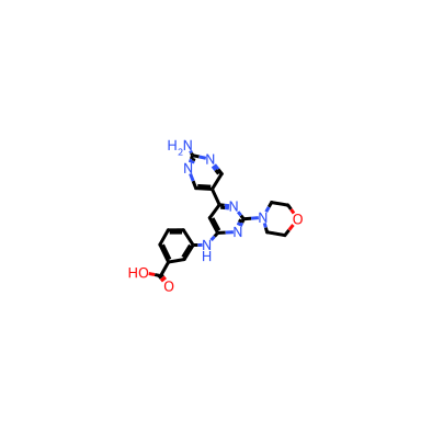 Nc1ncc(-c2cc(Nc3cccc(C(=O)O)c3)nc(N3CCOCC3)n2)cn1